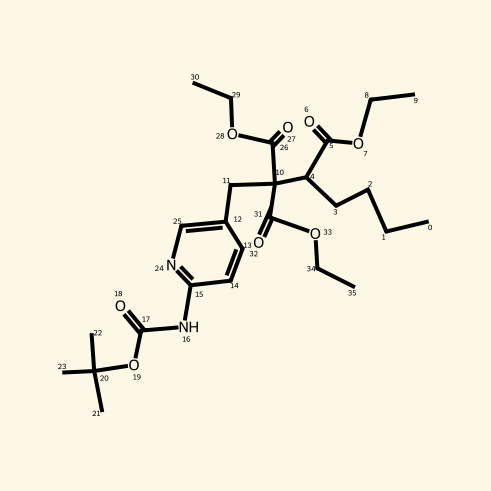 CCCCC(C(=O)OCC)C(Cc1ccc(NC(=O)OC(C)(C)C)nc1)(C(=O)OCC)C(=O)OCC